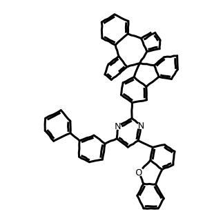 c1ccc(-c2cccc(-c3cc(-c4cccc5c4oc4ccccc45)nc(-c4ccc5c(c4)-c4ccccc4C54c5ccccc5-c5ccccc5-c5ccccc54)n3)c2)cc1